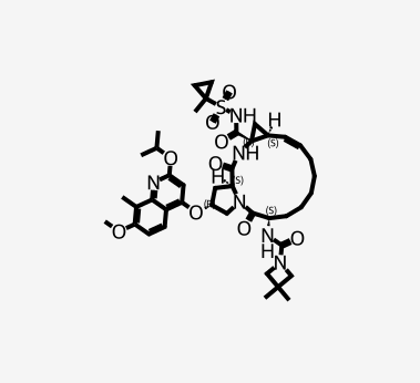 COc1ccc2c(O[C@@H]3C[C@H]4C(=O)N[C@]5(C(=O)NS(=O)(=O)C6(C)CC6)C[C@H]5C=CCCCCC[C@H](NC(=O)N5CC(C)(C)C5)C(=O)N4C3)cc(OC(C)C)nc2c1C